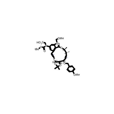 COCOc1cc(N(CC(=O)O)C(=O)OC(C)(C)C)cc2c1C(=O)O[C@@H](C)[C@H](C)/C=C\[C@@H](OCc1ccc(OC)cc1)[C@H]1OC(C)(C)O[C@H]1C/C=C/2